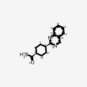 BC(=O)[C@H]1CC[C@@H](c2ncc3ccccc3n2)CC1